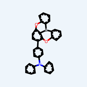 c1ccc(N(c2ccccc2)c2ccc(-c3ccc4c5c3Oc3ccccc3B5c3ccccc3O4)cc2)cc1